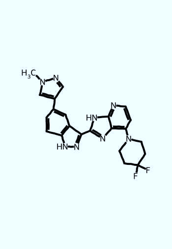 Cn1cc(-c2ccc3[nH]nc(-c4nc5c(N6CCC(F)(F)CC6)ccnc5[nH]4)c3c2)cn1